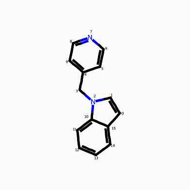 [c]1cn(Cc2ccncc2)c2ccccc12